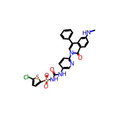 CNc1ccc2c(=O)n(-c3ccc(NC(=O)NS(=O)(=O)c4ccc(Cl)s4)cn3)cc(-c3ccccc3)c2c1